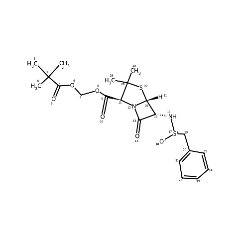 CC(C)(C)C(=O)OCOC(=O)[C@@H]1N2C(=O)[C@@H](N[S+]([O-])Cc3ccccc3)[C@H]2SC1(C)C